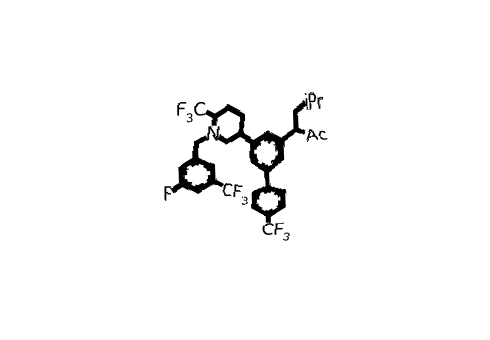 CC(=O)C(CC(C)C)c1cc(-c2ccc(C(F)(F)F)cc2)cc(C2CCC(C(F)(F)F)N(Cc3cc(F)cc(C(F)(F)F)c3)C2)c1